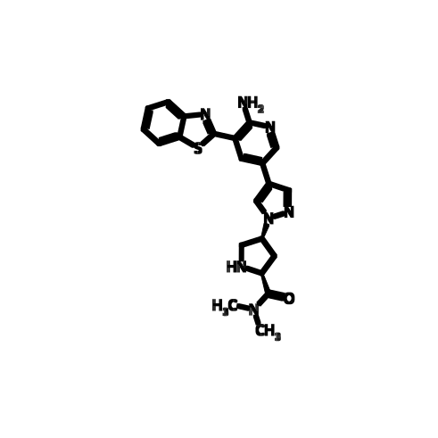 CN(C)C(=O)[C@@H]1C[C@H](n2cc(-c3cnc(N)c(-c4nc5ccccc5s4)c3)cn2)CN1